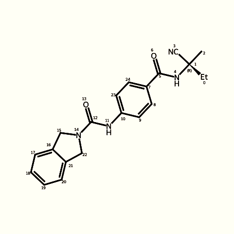 CC[C@](C)(C#N)NC(=O)c1ccc(NC(=O)N2Cc3ccccc3C2)cc1